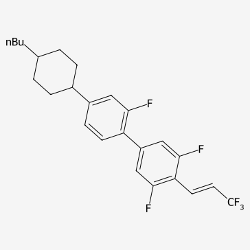 CCCCC1CCC(c2ccc(-c3cc(F)c(/C=C/C(F)(F)F)c(F)c3)c(F)c2)CC1